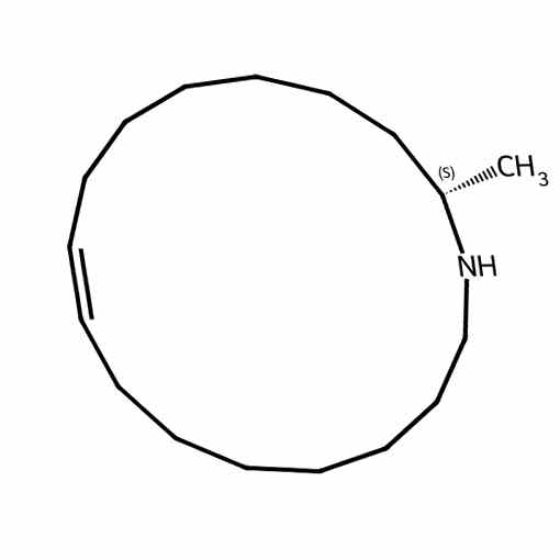 C[C@H]1CCCCCCC=CCCCCCCCN1